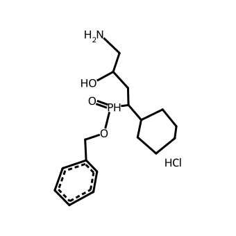 Cl.NCC(O)CC(C1CCCCC1)[PH](=O)OCc1ccccc1